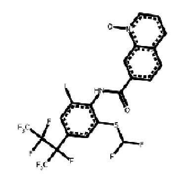 O=C(Nc1c(I)cc(C(F)(C(F)(F)F)C(F)(F)C(F)(F)F)cc1SC(F)F)c1ccc2ccc[n+]([O-])c2c1